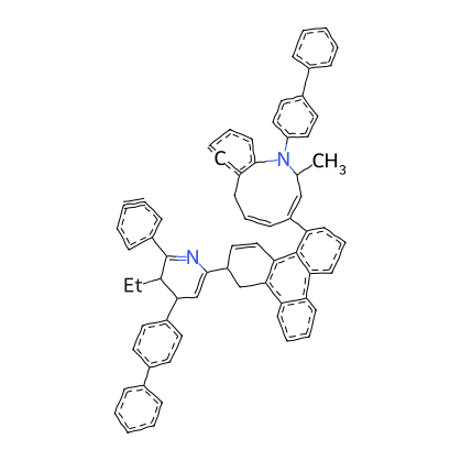 CCC1C(c2cc#ccc2)=NC(C2C=Cc3c(c4ccccc4c4cccc(C5=C/C(C)N(c6ccc(-c7ccccc7)cc6)c6ccccc6C/C=C\5)c34)C2)=CC1c1ccc(-c2ccccc2)cc1